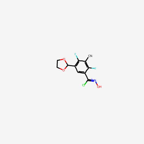 N#Cc1c(F)c(/C(Cl)=N/O)cc(C2OCCO2)c1F